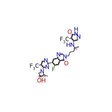 C[C@@H](CCCn1cnc2cc(-c3ncc(C(F)(F)F)c(N4C[C@@H](O)[C@@H]4C)n3)c(F)cc2c1=O)Nc1cn[nH]c(=O)c1C(F)(F)F